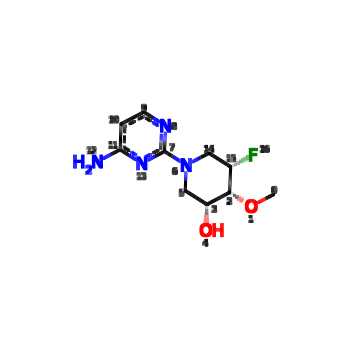 CO[C@@H]1[C@H](O)CN(c2nccc(N)n2)C[C@@H]1F